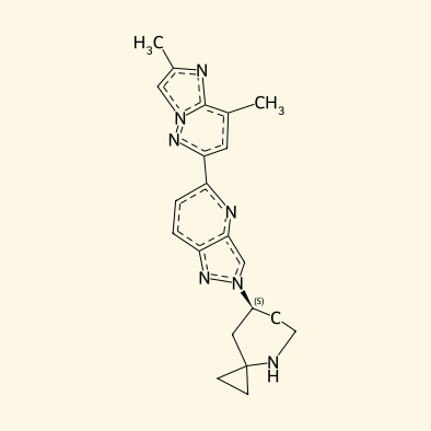 Cc1cn2nc(-c3ccc4nn([C@H]5CCNC6(CC6)C5)cc4n3)cc(C)c2n1